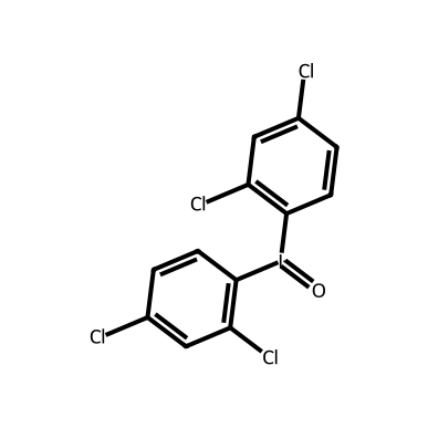 O=[I](c1ccc(Cl)cc1Cl)c1ccc(Cl)cc1Cl